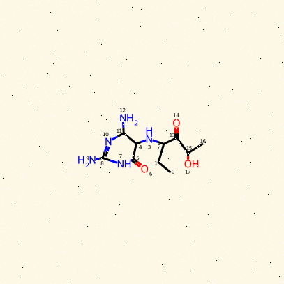 CCC(NC1C(=O)NC(N)=NC1N)C(=O)C(C)O